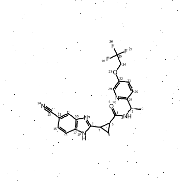 C[C@@H](NC(=O)C1CC1c1nc2cc(C#N)ccc2[nH]1)c1ccc(OCC(F)(F)F)cn1